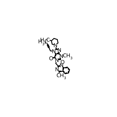 CC#CCn1c(N2CCCC(C)C2)nc2c1c(=O)n(Cc1nc(C)c3ccccc3n1)c(=O)n2C